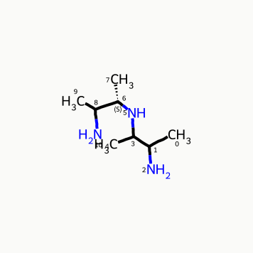 CC(N)C(C)N[C@@H](C)C(C)N